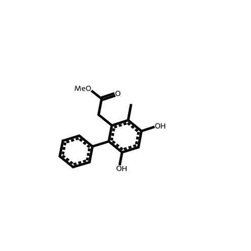 COC(=O)Cc1c(C)c(O)cc(O)c1-c1ccccc1